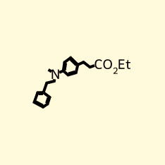 CCOC(=O)CCc1ccc(N(C)CCc2ccccc2)cc1